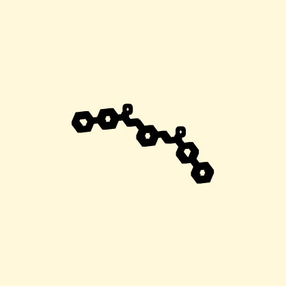 O=C(/C=C/c1cccc(/C=C/C(=O)C2C=CC(c3ccccc3)=CC2)c1)c1ccc(C2C=CC=CC2)cc1